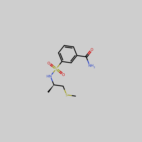 CSC[C@@H](C)NS(=O)(=O)c1cccc(C(N)=O)c1